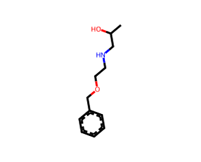 CC(O)CNCCOCc1ccccc1